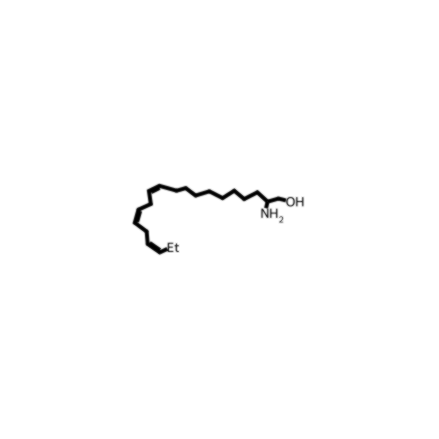 CC/C=C\C/C=C\C/C=C\CCCCCCCCC(N)CO